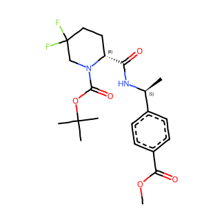 COC(=O)c1ccc([C@H](C)NC(=O)[C@H]2CCC(F)(F)CN2C(=O)OC(C)(C)C)cc1